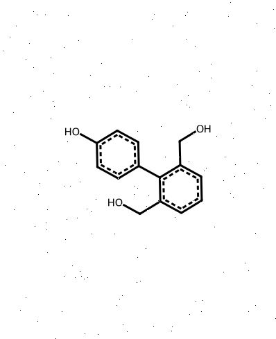 OCc1cccc(CO)c1-c1ccc(O)cc1